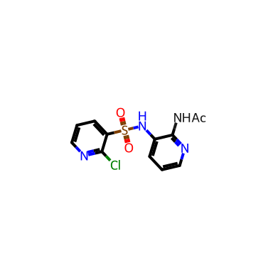 CC(=O)Nc1ncccc1NS(=O)(=O)c1cccnc1Cl